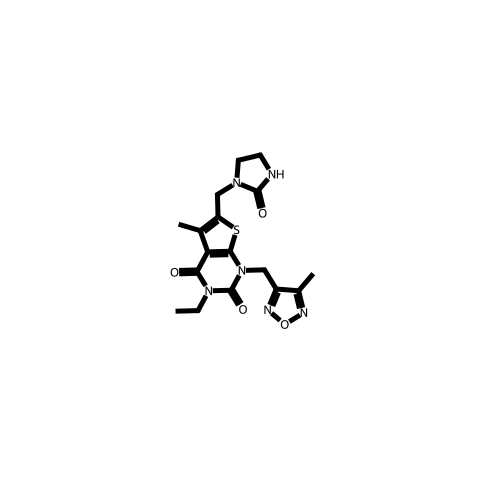 CCn1c(=O)c2c(C)c(CN3CCNC3=O)sc2n(Cc2nonc2C)c1=O